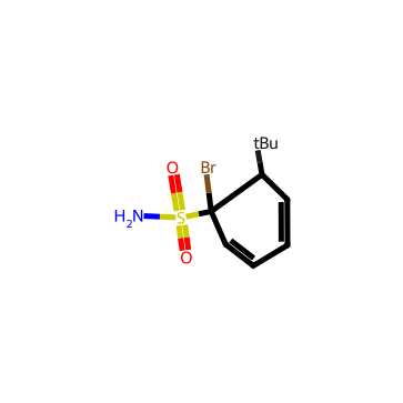 CC(C)(C)C1C=CC=CC1(Br)S(N)(=O)=O